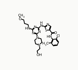 COCCCNc1nc(Nc2ncc(C(=O)Nc3c(C)cccc3Cl)s2)nc(N2CCN(CCO)CC2)n1